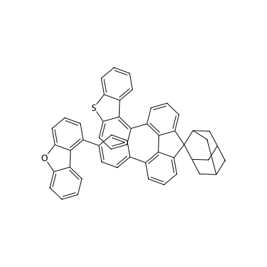 c1cc(-c2ccc(-c3cccc4oc5ccccc5c34)cc2)c2c(c1)C1(c3cccc(-c4cccc5sc6ccccc6c45)c3-2)C2CC3CC(C2)CC1C3